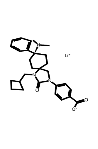 CN(C)[C@]1(c2ccccc2)CC[C@@]2(CC1)CN(c1ccc(C(=O)[O-])cc1)C(=O)N2CC1CCC1.[Li+]